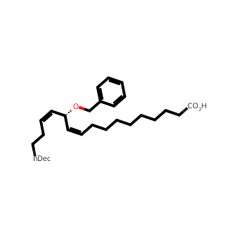 CCCCCCCCCCCC/C=C\[C@@H](/C=C\CCCCCCCCC(=O)O)OCc1ccccc1